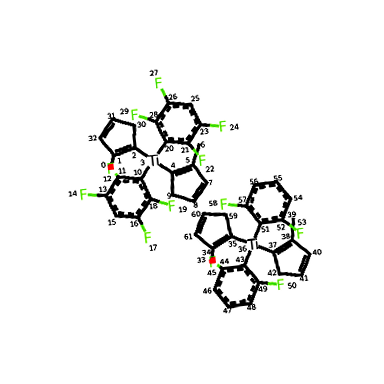 CC1=[C]([Ti]([C]2=C(C)C=CC2)([c]2c(F)c(F)cc(F)c2F)[c]2c(F)c(F)cc(F)c2F)CC=C1.CC1=[C]([Ti]([C]2=C(C)C=CC2)([c]2c(F)cccc2F)[c]2c(F)cccc2F)CC=C1